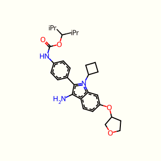 CC(C)C(OC(=O)Nc1ccc(-c2c(N)c3ccc(OC4CCOC4)cc3n2C2CCC2)cc1)C(C)C